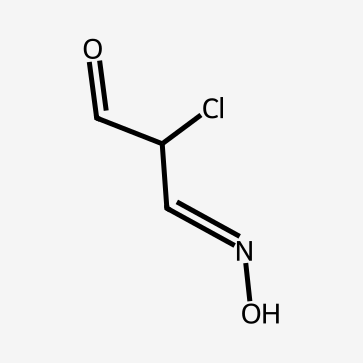 O=CC(Cl)C=NO